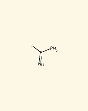 N=[PH](P)I